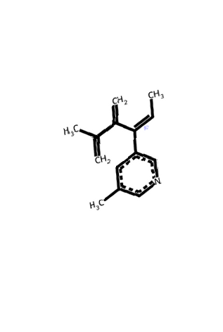 C=C(C)C(=C)/C(=C\C)c1cncc(C)c1